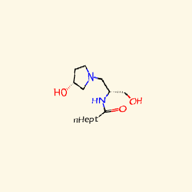 CCCCCCCC(=O)N[C@@H](CO)CN1CC[C@@H](O)C1